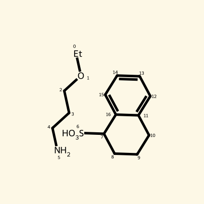 CCOCCCN.O=S(=O)(O)C1CCCc2ccccc21